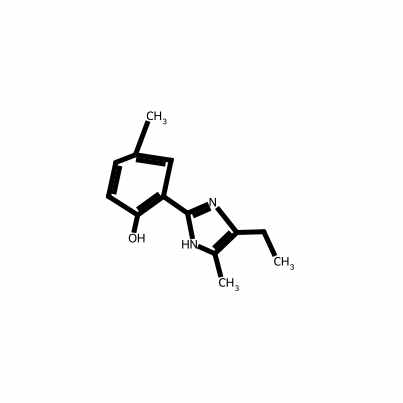 CCc1nc(-c2cc(C)ccc2O)[nH]c1C